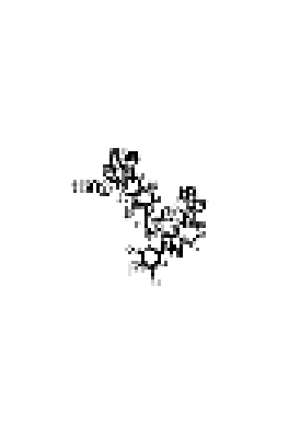 Cc1cc(-n2nc3c(c2-n2ccn(-c4ccc5c(c4F)CN(C(=O)OC(C)(C)C)N(C(=O)OC(C)(C)C)C5)c2=O)CN(C(=O)OC(C)(C)C)CCC3)cc(C)c1F